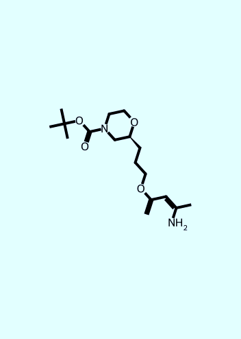 C=C(/C=C(/C)N)OCCC[C@H]1CN(C(=O)OC(C)(C)C)CCO1